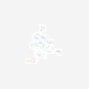 CC(CN1CC(O)C1)c1cc(C#N)cc(Nc2nc(NC3CC3)c3ncc(C#N)n3n2)c1Cl